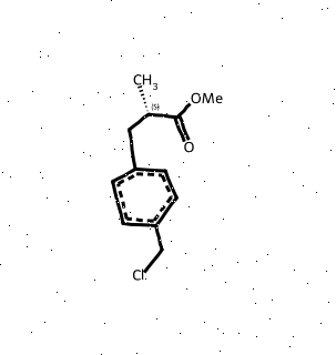 COC(=O)[C@@H](C)Cc1ccc(CCl)cc1